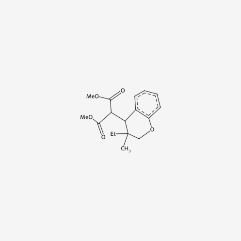 CCC1(C)COc2ccccc2C1C(C(=O)OC)C(=O)OC